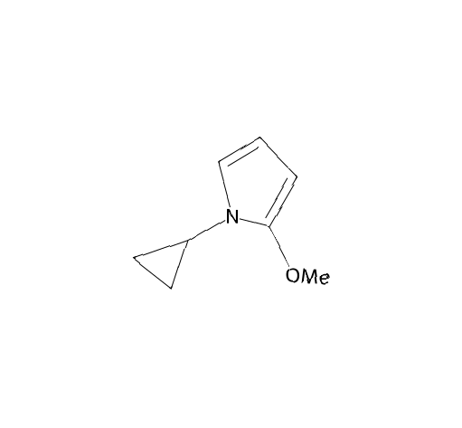 COc1cccn1C1CC1